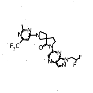 Cc1nc(N2CCC3(CCN(c4cnc5cnn(CC(F)F)c5n4)C3=O)C2)cc(C(F)(F)F)n1